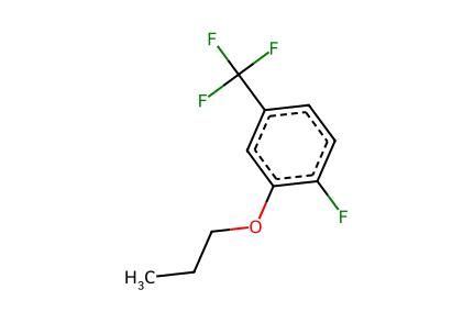 CCCOc1cc(C(F)(F)F)ccc1F